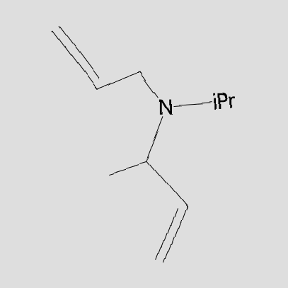 C=CCN(C(C)C)C(C)C=C